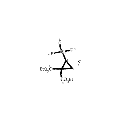 CCOC(=O)C1(C(=O)OCC)CC1[B-](F)(F)F.[K+]